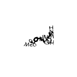 COC(=O)Cc1cccc(CCC(CO)NC(=O)c2c[nH]cn2)c1